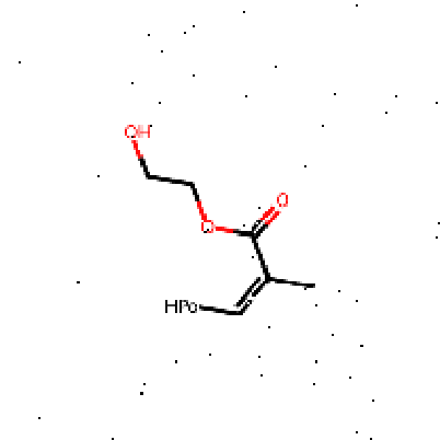 CC(=[CH][PoH])C(=O)OCCO